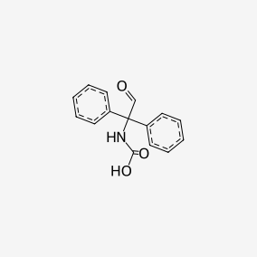 O=CC(NC(=O)O)(c1ccccc1)c1ccccc1